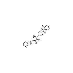 O=c1c(Cl)c(NC[C@H]2CCCOC2)cnn1C1CCN(S(=O)(=O)c2ccccc2F)CC1